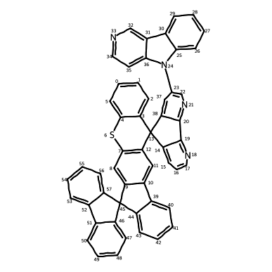 c1ccc2c(c1)Sc1cc3c(cc1C21c2cccnc2-c2ncc(-n4c5ccccc5c5cnccc54)cc21)-c1ccccc1C31c2ccccc2-c2ccccc21